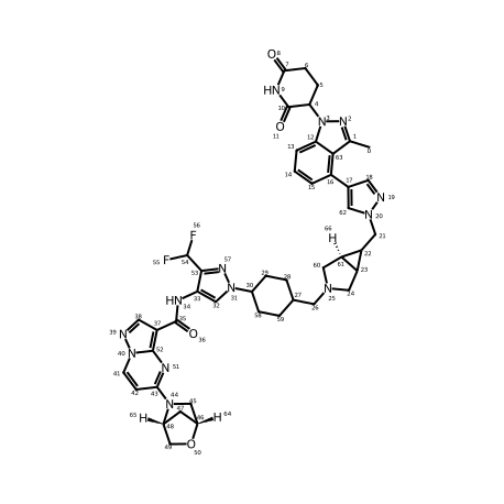 Cc1nn(C2CCC(=O)NC2=O)c2cccc(-c3cnn(CC4C5CN(CC6CCC(n7cc(NC(=O)c8cnn9ccc(N%10C[C@H]%11C[C@@H]%10CO%11)nc89)c(C(F)F)n7)CC6)C[C@H]54)c3)c12